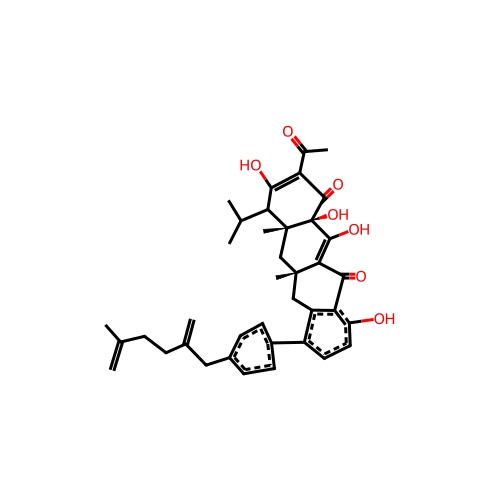 C=C(C)CCC(=C)Cc1ccc(-c2ccc(O)c3c2C[C@]2(C)C[C@]4(C)C(C(C)C)C(O)=C(C(C)=O)C(=O)[C@]4(O)C(O)=C2C3=O)cc1